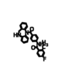 Cc1cc(F)ccc1C(=O)Nc1ccc(C(=O)N2c3ccccc3CNc3ccccc32)cc1